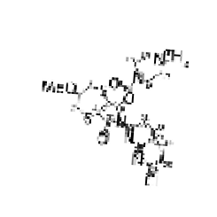 COC1CSC2=C(SC1)C(OC(=O)N1CCN(C)CC1)N(c1ccc3ccc(Cl)nc3n1)C2=O